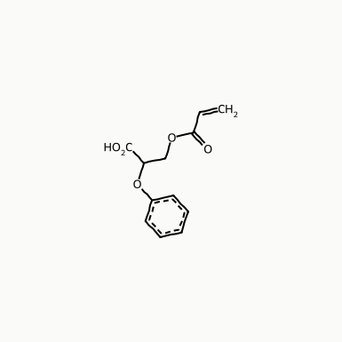 C=CC(=O)OCC(Oc1ccccc1)C(=O)O